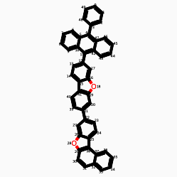 c1ccc(-c2c3ccccc3c(-c3ccc4c(c3)oc3cc(-c5ccc6c(c5)oc5ccc7ccccc7c56)ccc34)c3ccccc23)cc1